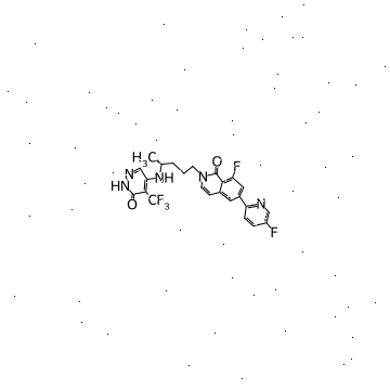 C[C@@H](CCCn1ccc2cc(-c3ccc(F)cn3)cc(F)c2c1=O)Nc1cn[nH]c(=O)c1C(F)(F)F